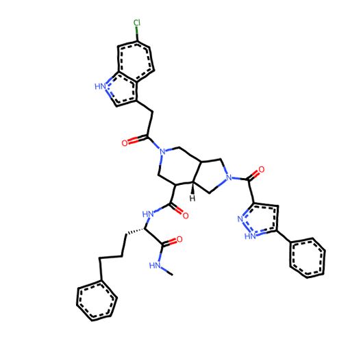 CNC(=O)[C@H](CCCc1ccccc1)NC(=O)C1CN(C(=O)Cc2c[nH]c3cc(Cl)ccc23)CC2CN(C(=O)c3cc(-c4ccccc4)[nH]n3)C[C@@H]21